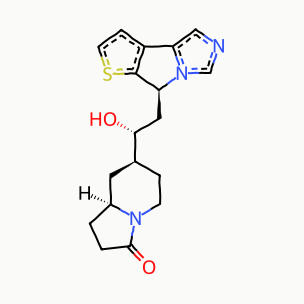 O=C1CC[C@H]2C[C@@H]([C@H](O)C[C@H]3c4sccc4-c4cncn43)CCN12